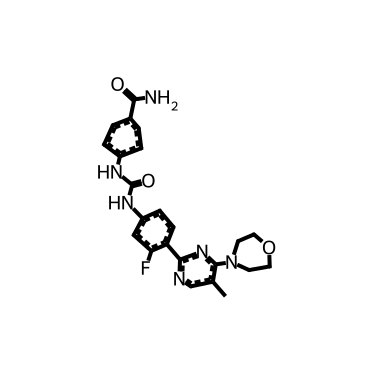 Cc1cnc(-c2ccc(NC(=O)Nc3ccc(C(N)=O)cc3)cc2F)nc1N1CCOCC1